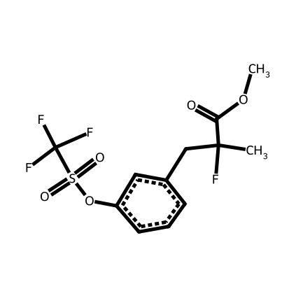 COC(=O)C(C)(F)Cc1cccc(OS(=O)(=O)C(F)(F)F)c1